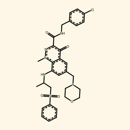 CC(CS(=O)(=O)c1ccccc1)Nc1cc(CN2CCOCC2)cc2c(=O)c(C(=O)NCc3ccc(Cl)cc3)nn(C)c12